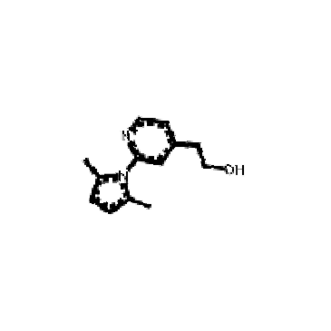 Cc1ccc(C)n1-c1cc(CCO)ccn1